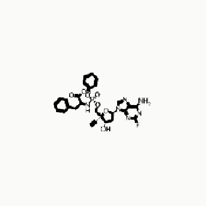 C#C[C@]1(CO[P@](=O)(NC(Cc2ccccc2)C(=O)O)Oc2ccccc2)O[C@@H](n2cnc3c(N)nc(F)nc32)C[C@@H]1O